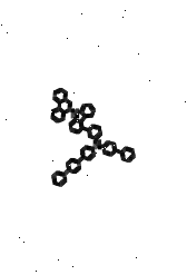 c1ccc(-c2ccc(-c3ccc(N(c4ccc(-c5ccccc5)cc4)c4cccc(-c5cccc6c5c5ccccc5n6-c5cc6ccccc6c6ccccc56)c4)cc3)cc2)cc1